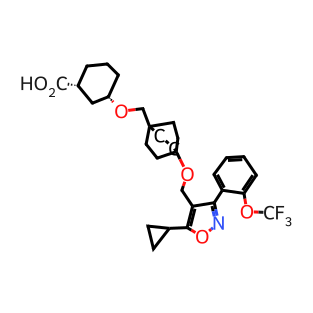 O=C(O)[C@@H]1CCC[C@H](OCC23CCC(OCc4c(-c5ccccc5OC(F)(F)F)noc4C4CC4)(CC2)CC3)C1